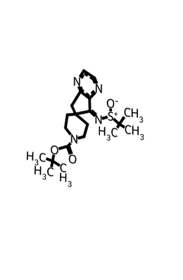 CC(C)(C)OC(=O)N1CCC2(CC1)Cc1nccnc1C2=N[S+]([O-])C(C)(C)C